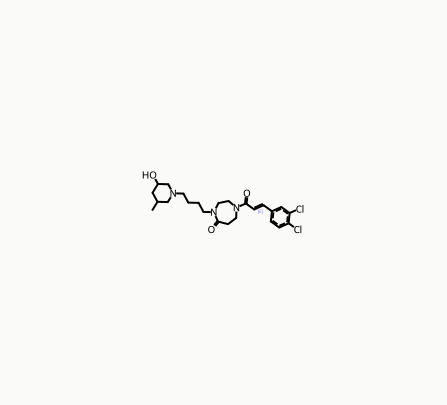 CC1CC(O)CN(CCCCN2CCN(C(=O)/C=C/c3ccc(Cl)c(Cl)c3)CCC2=O)C1